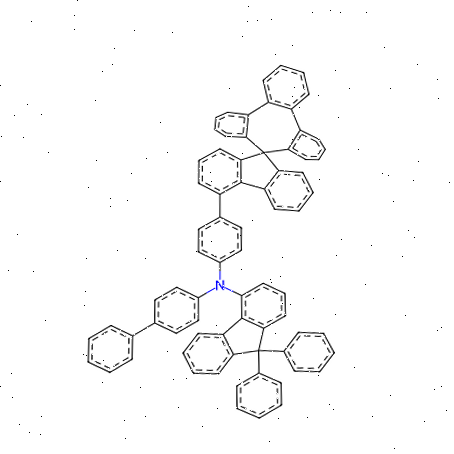 c1ccc(-c2ccc(N(c3ccc(-c4cccc5c4-c4ccccc4C54c5ccccc5-c5ccccc5-c5ccccc54)cc3)c3cccc4c3-c3ccccc3C4(c3ccccc3)c3ccccc3)cc2)cc1